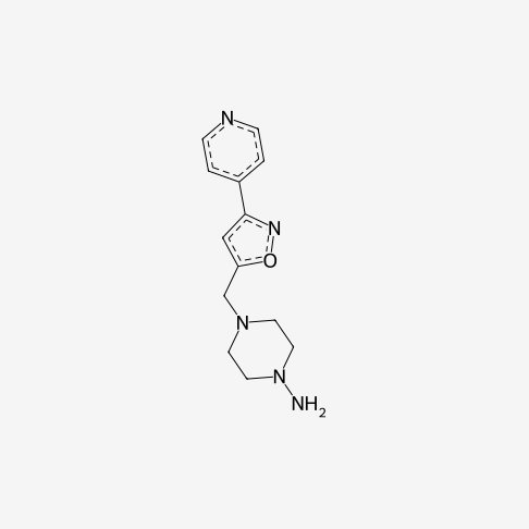 NN1CCN(Cc2cc(-c3ccncc3)no2)CC1